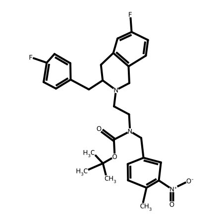 Cc1ccc(CN(CCN2Cc3ccc(F)cc3CC2Cc2ccc(F)cc2)C(=O)OC(C)(C)C)cc1[N+](=O)[O-]